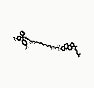 COc1ccc(C(OCCC(O)CCCCCCCCCCCNC(=O)O[C@@H]2CC[C@]3(C)C(=CCC4C5CCC(C(C)CCCC(C)C)[C@]5(C)CCC43)C2)(c2ccccc2)c2ccc(OC)cc2)cc1